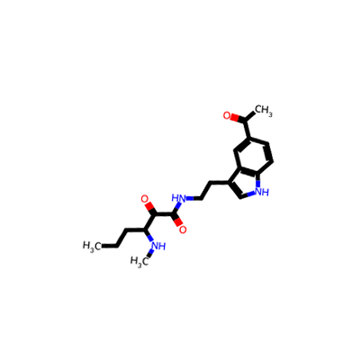 CCCC(NC)C(=O)C(=O)NCCc1c[nH]c2ccc(C(C)=O)cc12